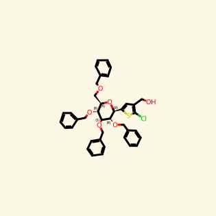 OCc1cc([C@@H]2O[C@H](COCc3ccccc3)[C@@H](OCc3ccccc3)[C@H](OCc3ccccc3)[C@H]2OCc2ccccc2)sc1Cl